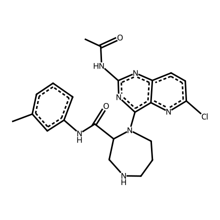 CC(=O)Nc1nc(N2CCCNCC2C(=O)Nc2cccc(C)c2)c2nc(Cl)ccc2n1